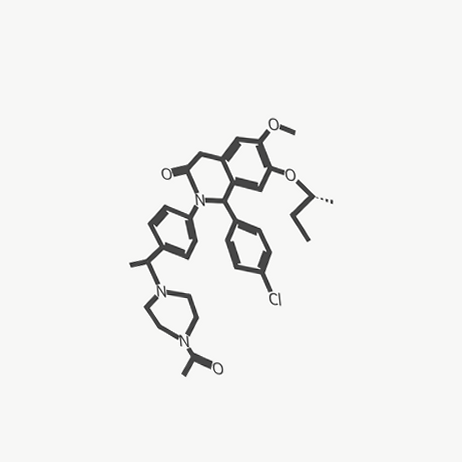 CC[C@@H](C)Oc1cc2c(cc1OC)CC(=O)N(c1ccc(C(C)N3CCN(C(C)=O)CC3)cc1)C2c1ccc(Cl)cc1